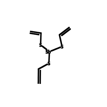 C=C[S][Sb]([S]C=C)[S]C=C